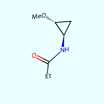 CCC(=O)N[C@@H]1C[C@H]1OC